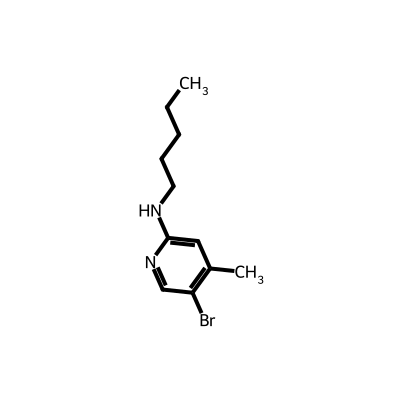 CCCCCNc1cc(C)c(Br)cn1